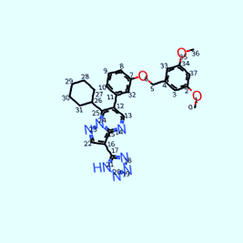 COc1cc(COc2cccc(-c3cnc4c(-c5nnn[nH]5)cnn4c3C3CCCCC3)c2)cc(OC)c1